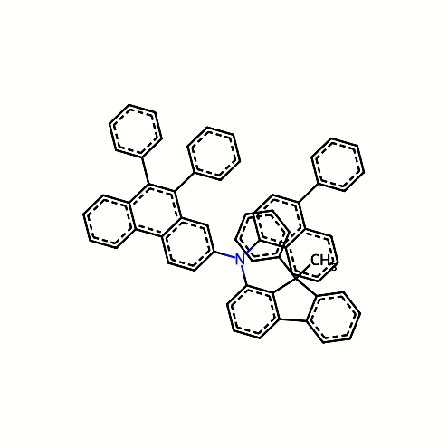 CC1(c2ccccc2)c2ccccc2-c2cccc(N(c3ccc4c(c3)c(-c3ccccc3)c(-c3ccccc3)c3ccccc34)c3ccc(-c4ccccc4)c4ccccc34)c21